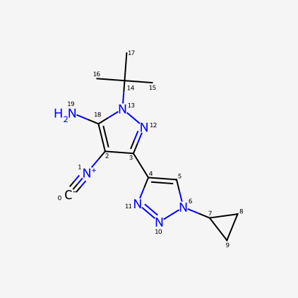 [C-]#[N+]c1c(-c2cn(C3CC3)nn2)nn(C(C)(C)C)c1N